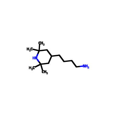 CC1(C)CC(CCCCN)CC(C)(C)N1